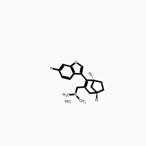 CN(C)CC1=C(c2csc3cc(F)ccc23)[C@H]2CC[C@H](C1)C2.Cl